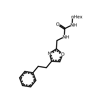 CCCCCCNC(=O)NCc1nc(CCc2ccccc2)co1